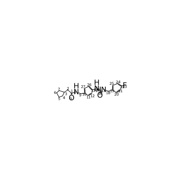 O=C(CC1CCCC1)NCc1ccc(NC(=O)NCc2ccc(F)cc2)cc1